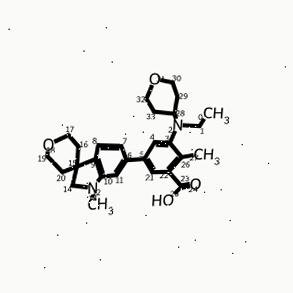 CCN(c1cc(-c2ccc3c(c2)N(C)CC32CCOCC2)cc(C(=O)O)c1C)C1CCOCC1